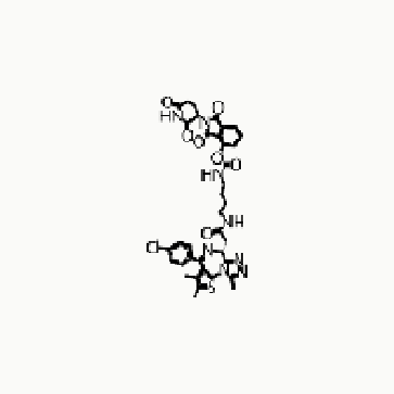 Cc1sc2c(c1C)C(c1ccc(Cl)cc1)=N[C@H](CC(=O)NCCCCNC(=O)Oc1cccc3c1C(=O)N(C1CCC(=O)NC1=O)C3=O)c1nnc(C)n1-2